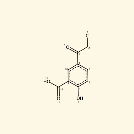 O=C(CCl)c1ccc(O)c(C(=O)O)c1